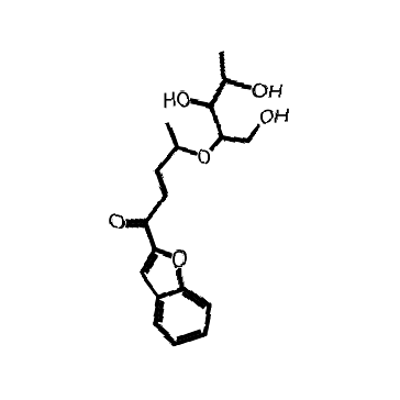 CC(CCC(=O)c1cc2ccccc2o1)OC(CO)C(O)C(C)O